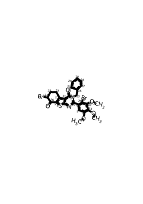 COc1cc(-c2nc3sc4c(c3c(=O)n2Cc2ccccc2)CCC(Br)C4=O)c(Br)c(OC)c1OC